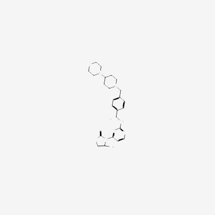 C[C@H](Nc1nccc(N2C(=O)OC[C@]2(C)O)n1)c1ccc(CN2CCC(N3CCOCC3)CC2)cc1